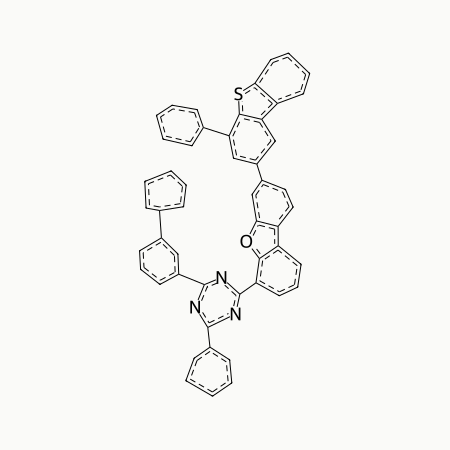 c1ccc(-c2cccc(-c3nc(-c4ccccc4)nc(-c4cccc5c4oc4cc(-c6cc(-c7ccccc7)c7sc8ccccc8c7c6)ccc45)n3)c2)cc1